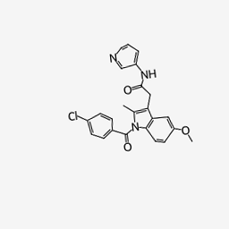 COc1ccc2c(c1)c(CC(=O)Nc1cccnc1)c(C)n2C(=O)c1ccc(Cl)cc1